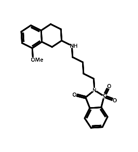 COc1cccc2c1CC(NCCCCN1C(=O)c3ccccc3S1(=O)=O)CC2